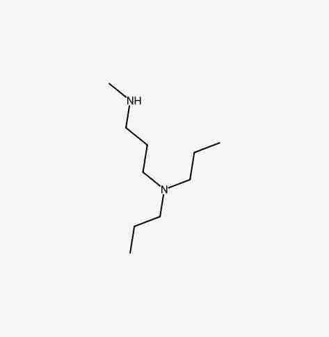 CCCN(CCC)CCCNC